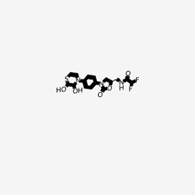 O=C(NC[C@H]1CN(c2ccc(N3C=CSC(O)C3O)cc2)C(=O)O1)C(F)F